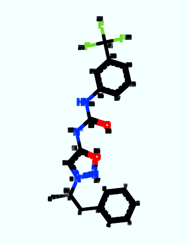 C[C@@H](Cc1ccccc1)[n+]1cc([N-]C(=O)Nc2cccc(C(F)(F)F)c2)on1